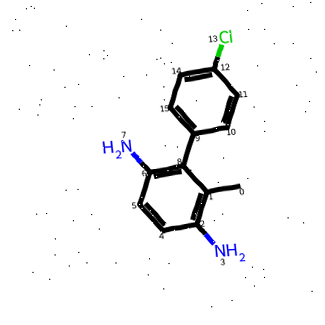 Cc1c(N)ccc(N)c1-c1ccc(Cl)cc1